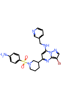 Nc1ccc(S(=O)(=O)N2CCCC(c3cc(NCc4cccnc4)n4ncc(Br)c4n3)C2)cc1